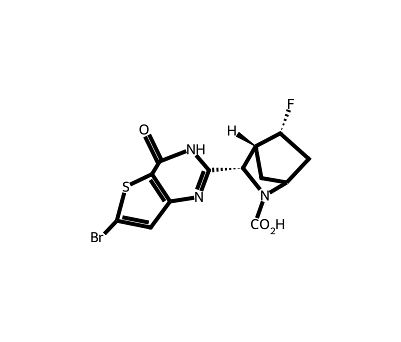 O=C(O)N1C2C[C@@H]([C@H](F)C2)[C@H]1c1nc2cc(Br)sc2c(=O)[nH]1